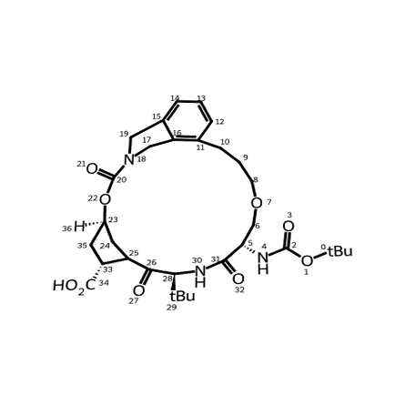 CC(C)(C)OC(=O)N[C@H]1COCCCc2cccc3c2CN(C3)C(=O)O[C@H]2CC(C(=O)[C@H](C(C)(C)C)NC1=O)[C@H](C(=O)O)C2